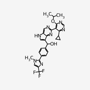 CC(C)Oc1ncnc(C2CC2)c1-c1ncc2[nH]cc(C(O)c3ccc(-c4nc(C(F)(F)F)cn4C)cc3)c2n1